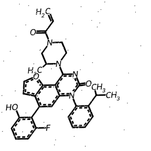 C=CC(=O)N1CCN(c2nc(=O)n(-c3ccccc3C(C)C)c3cc(-c4c(O)cccc4F)c4ccoc4c23)C(C)C1